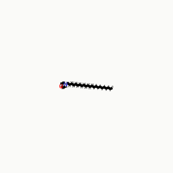 CCCCCCCCCCCCCCCCCCCCCCCN1CCOCC1